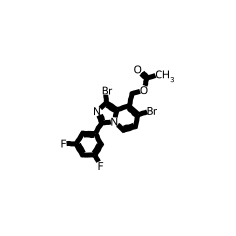 CC(=O)OCc1c(Br)ccn2c(-c3cc(F)cc(F)c3)nc(Br)c12